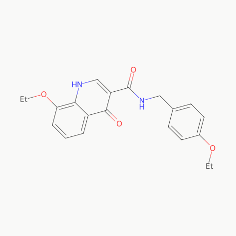 CCOc1ccc(CNC(=O)c2c[nH]c3c(OCC)cccc3c2=O)cc1